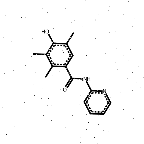 Cc1cc(C(=O)Nc2ccccn2)c(C)c(C)c1O